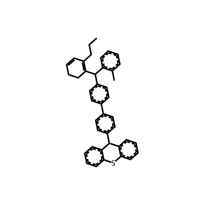 CCCC1=C(C(c2ccc(-c3ccc(C4c5ccccc5Sc5ccccc54)cc3)cc2)c2ccccc2C)CCC=C1